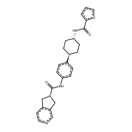 O=C(N[C@H]1CC[C@H](c2ccc(NC(=O)N3Cc4ccncc4C3)cc2)CC1)c1ccco1